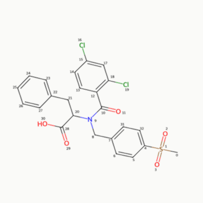 CS(=O)(=O)c1ccc(CN(C(=O)c2ccc(Cl)cc2Cl)C(Cc2ccccc2)C(=O)O)cc1